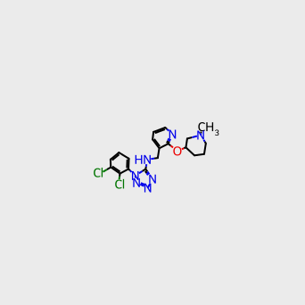 CN1CCCC(Oc2ncccc2CNc2nnnn2-c2cccc(Cl)c2Cl)C1